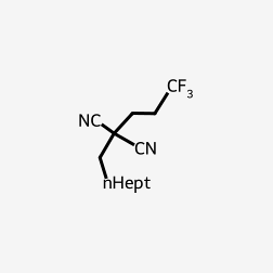 CCCCCCCCC(C#N)(C#N)CCC(F)(F)F